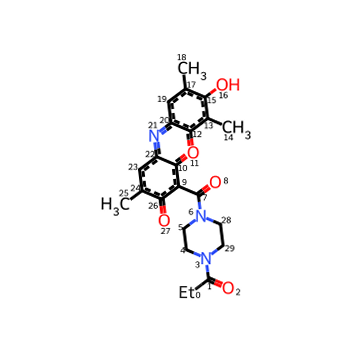 CCC(=O)N1CCN(C(=O)c2c3oc4c(C)c(O)c(C)cc4nc-3cc(C)c2=O)CC1